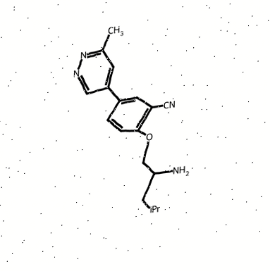 Cc1cc(-c2ccc(OCC(N)CC(C)C)c(C#N)c2)cnn1